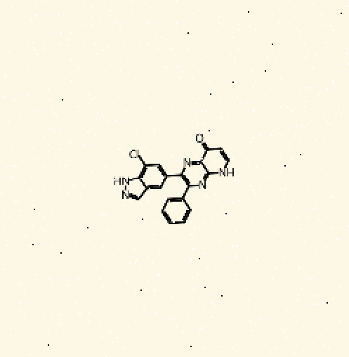 O=c1cc[nH]c2nc(-c3ccccc3)c(-c3cc(Cl)c4[nH]ncc4c3)nc12